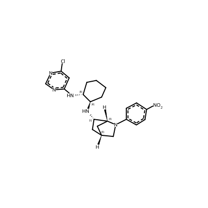 O=[N+]([O-])c1ccc(N2C[C@@H]3C[C@H](N[C@@H]4CCCC[C@H]4Nc4cc(Cl)ncn4)[C@H]2C3)cc1